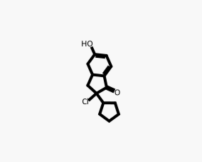 O=C1C2=CC=C(O)CC2CC1(Cl)C1CCCC1